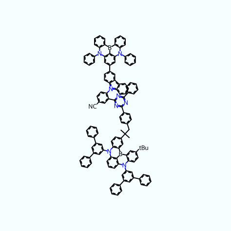 CC(C)(C)c1ccc2c(c1)B1c3cc(C(C)(C)Cc4ccc(-c5nc(-c6ccccc6)nc(-c6cc(C#N)ccc6-n6c7ccccc7c7cc(-c8cc9c%10c(c8)N(c8ccccc8)c8ccccc8B%10c8ccccc8N9c8ccccc8)ccc76)n5)cc4)ccc3N(c3cc(-c4ccccc4)cc(-c4ccccc4)c3)c3cccc(c31)N2c1cc(-c2ccccc2)cc(-c2ccccc2)c1